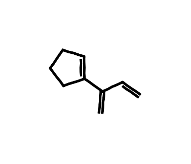 C=CC(=C)C1=CCCC1